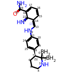 BC1(B)NCCC[C@H]1c1ccc(N/C=C2/C=CC=C(C(N)=O)C2=N)cc1